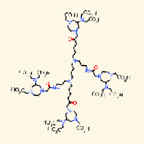 O=C(O)CN1CCN(CC(=O)CCCCN(CCCCN(CCCCC(=O)CN2CCN(CC(=O)O)CC(N(CC(=O)O)CC(=O)O)C2)CCCNC(=O)CN2CCN(CC(=O)O)CC(N(CC(=O)O)CC(=O)O)C2)CCCNC(=O)CN2CCN(CC(=O)O)CC(N(CC(=O)O)CC(=O)O)C2)CC(N(CC(=O)O)CC(=O)O)C1